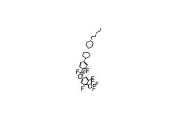 CCCCC[C@H]1CC[C@H](C2CCC(c3ccc(C(F)(F)Oc4cc(F)c(OC(F)(F)F)c(F)c4)c(F)c3)CC2)CC1